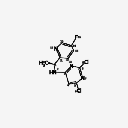 C[C@H](Nc1cc(Cl)nc(Cl)n1)c1ccc(F)cn1